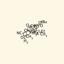 CCC(C)(C)CC[C@@](C)(CC[C@]1(C)C(C)C(=O)CC2[C@@]3(C)C=C(C#N)C(=O)C(C)(C)C3CC[C@]21C)CNC(=O)OC(C)(C)C